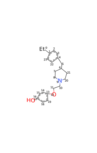 CCc1ccc(CC2CCN(CCOc3ccc(O)cc3)CC2)cc1